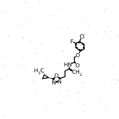 C=C(CCc1nnc([C@H]2C[C@@H]2C)o1)NC(=O)COc1ccc(Cl)c(F)c1